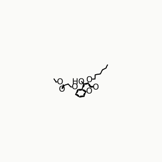 CCCCCCOc1c(O)c2c(OCCC(=O)OCC)cccc2oc1=O